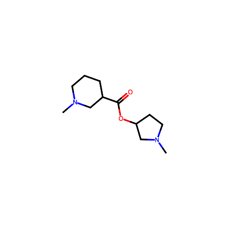 CN1CCC(OC(=O)C2CCCN(C)C2)C1